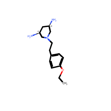 CCOc1ccc(CCN2C[C@H](N)C[C@H](N)C2)cc1